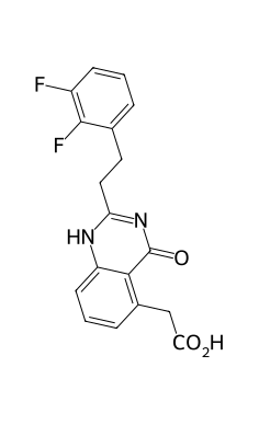 O=C(O)Cc1cccc2[nH]c(CCc3cccc(F)c3F)nc(=O)c12